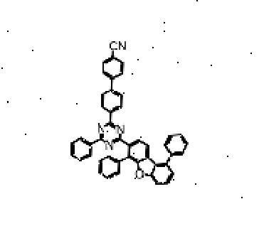 N#Cc1ccc(-c2ccc(-c3nc(-c4ccccc4)nc(-c4ccc5c(oc6cccc(-c7ccccc7)c65)c4-c4ccccc4)n3)cc2)cc1